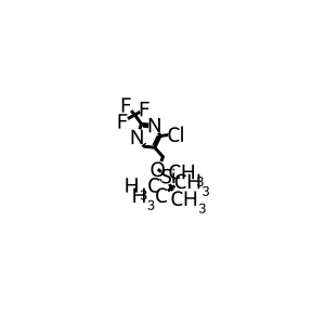 CC(C)(C)[Si](C)(C)OCc1cnc(C(F)(F)F)nc1Cl